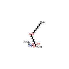 CCCCCCCCC(OC(=O)C[N+](C)(C)CCOC(C)=O)C(O)CCCCCCCC(=O)OCCCCCCCCCCOC(C)=O